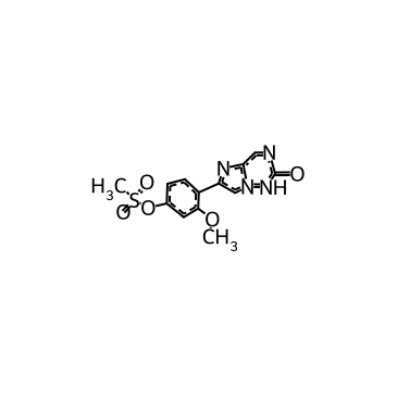 COc1cc(OS(C)(=O)=O)ccc1-c1cn2[nH]c(=O)ncc2n1